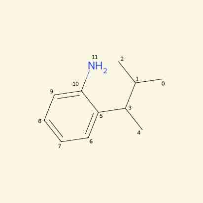 CC(C)C(C)c1ccccc1N